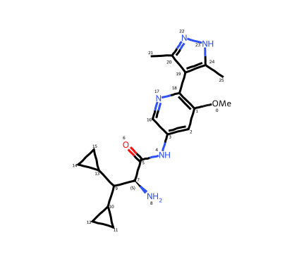 COc1cc(NC(=O)[C@@H](N)C(C2CC2)C2CC2)cnc1-c1c(C)n[nH]c1C